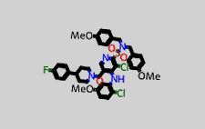 COc1ccc(CN(Cc2ccc(OC)cc2)S(=O)(=O)c2ncc(C(=O)N3CCC(c4ccc(F)cc4)CC3)c(Nc3cc(OC)ccc3Cl)c2Cl)cc1